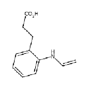 C=CNc1ccccc1CCC(=O)O